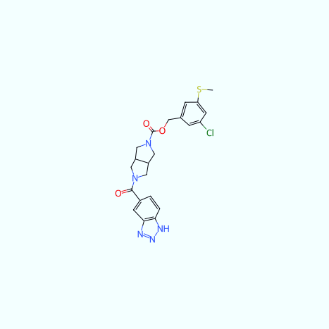 CSc1cc(Cl)cc(COC(=O)N2CC3CN(C(=O)c4ccc5[nH]nnc5c4)CC3C2)c1